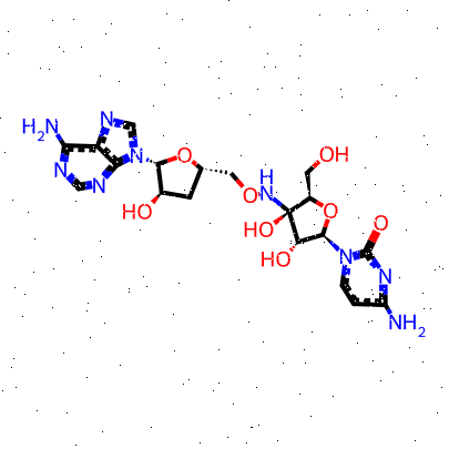 Nc1ccn([C@@H]2O[C@H](CO)[C@@](O)(NOC[C@@H]3C[C@@H](O)[C@H](n4cnc5c(N)ncnc54)O3)[C@H]2O)c(=O)n1